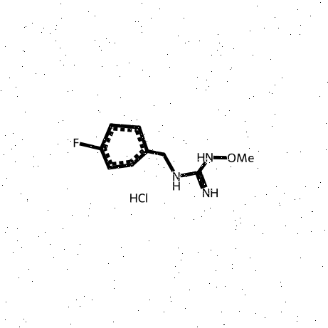 CONC(=N)NCc1ccc(F)cc1.Cl